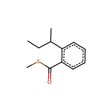 CCC(C)c1ccccc1C(=O)SC